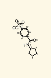 O=C(NC1CCCC1)c1ccc(S(=O)(=O)Cl)cc1